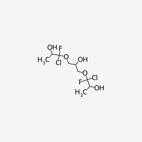 CC(O)C(F)(Cl)OCC(O)COC(F)(Cl)C(C)O